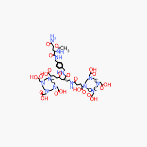 CC(=O)NC(CCC(N)=O)C(=O)NCc1ccc(CNC(=O)[C@H](CCNC(=O)CCC(C(=O)O)N2CCN(CC(=O)O)CCN(CC(=O)O)CCN(CC(=O)O)CC2)CC(=O)CCC(C(=O)O)N2CCN(CC(=O)O)CCN(CC(=O)O)CCN(CC(=O)O)CC2)cc1